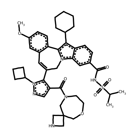 COc1ccc2c(c1)C=C(c1c(C(=O)N3CCOCC4(CNC4)C3)cnn1C1CCC1)Cn1c-2c(C2CCCCC2)c2ccc(C(=O)NS(=O)(=O)C(C)C)cc21